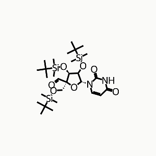 CC(C)(C)[Si](C)(C)OC[C@@]1(C=O)O[C@@H](n2ccc(=O)[nH]c2=O)C(O[Si](C)(C)C(C)(C)C)[C@@H]1O[Si](C)(C)C(C)(C)C